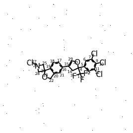 FC(F)(F)C1(c2cc(Cl)c(Cl)c(Cl)c2)CC(c2ccc3c(c2)COC32CN(Cl)C2)=CO1